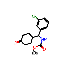 CC(C)(C)OC(=O)NC(c1cccc(Cl)c1)C1CCC(=O)CC1